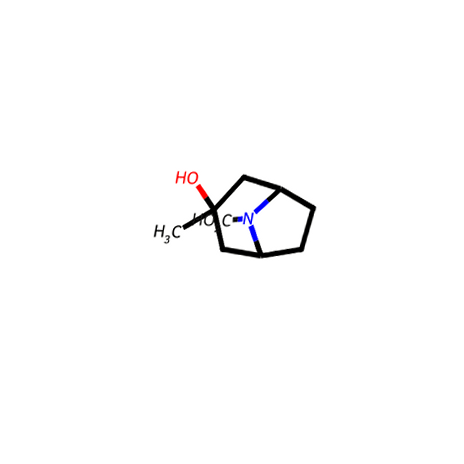 CC1(O)CC2CCC(C1)N2C(=O)O